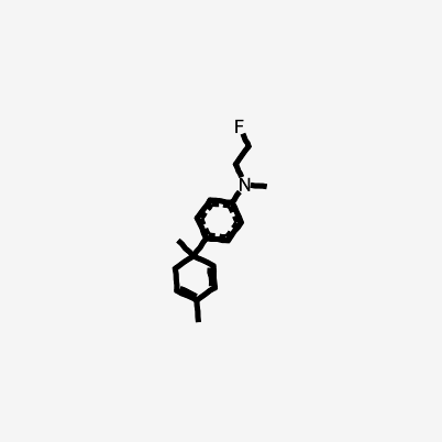 CC1=CCC(C)(c2ccc(N(C)CCF)cc2)C=C1